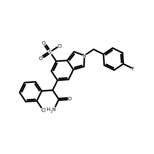 NC(=O)C(c1cc(S(=O)(=O)Cl)c2cn(Cc3ccc(F)cc3)cc2c1)c1ccccc1Cl